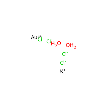 O.O.[Au+3].[Cl-].[Cl-].[Cl-].[Cl-].[K+]